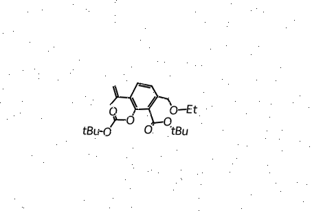 C=C(C)c1ccc(COCC)c(C(=O)OC(C)(C)C)c1OC(=O)OC(C)(C)C